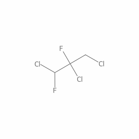 FC(Cl)C(F)(Cl)CCl